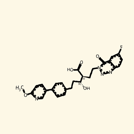 COc1ccc(-c2ccc(CC[C@@H](O)[C@H](CCn3nnc4ccc(F)cc4c3=O)C(=O)O)cc2)cn1